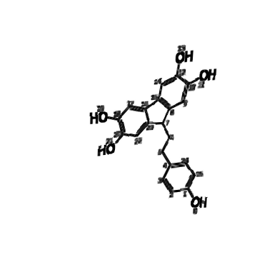 Oc1ccc(CCC2c3cc(O)c(O)cc3-c3cc(O)c(O)cc32)cc1